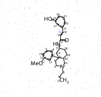 C=CCN1CCC2(c3cccc(OC)c3)CC(NC(=O)/C=C/c3cccc(O)c3)CCC2C1